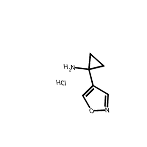 Cl.NC1(c2cnoc2)CC1